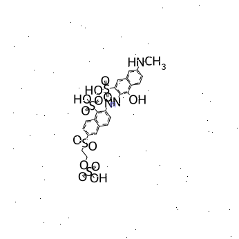 CNc1ccc2c(O)c(/N=N/c3ccc4cc(S(=O)(=O)CCOS(=O)(=O)O)ccc4c3S(=O)(=O)O)c(S(=O)(=O)O)cc2c1